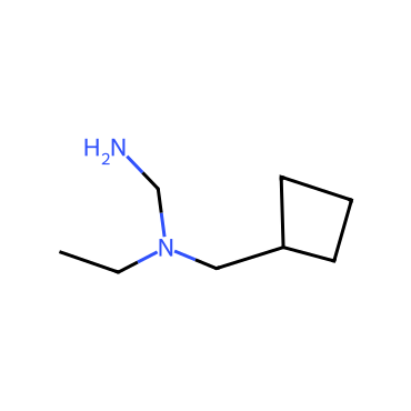 CCN(CN)CC1CCC1